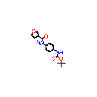 CC(C)(C)OC(=O)Nc1ccc(NC(=O)c2ccoc2)cc1